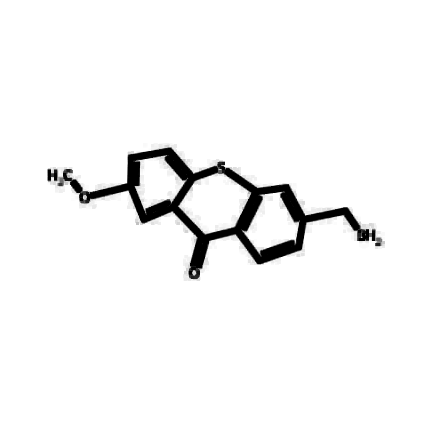 BCc1ccc2c(=O)c3cc(OC)ccc3sc2c1